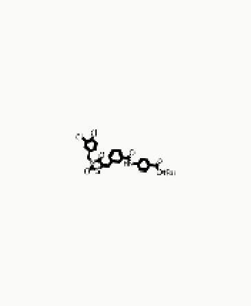 CC(C)(C)OC(=O)c1ccc(NC(=O)c2cccc(/C=C3/SC(=O)N(Cc4ccc(Cl)c(Cl)c4)C3=O)c2)cc1